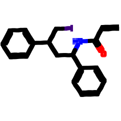 C=CC(=O)NC(CC(CI)c1ccccc1)c1ccccc1